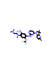 Cc1ccc2c(n1)C(C)(C)CN2c1ccnc(Nc2cc(N)c(N(C)CCN(C)C)cc2OC(F)F)n1